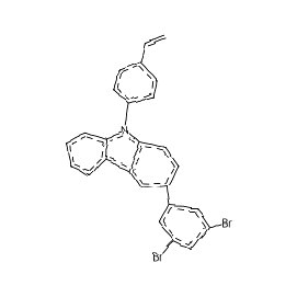 C=Cc1ccc(-n2c3ccccc3c3cc(-c4cc(Br)cc(Br)c4)ccc32)cc1